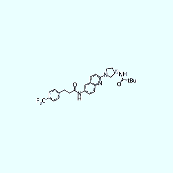 CC(C)(C)C(=O)N[C@H]1CCN(c2ccc3cc(NC(=O)CCc4ccc(C(F)(F)F)cc4)ccc3n2)C1